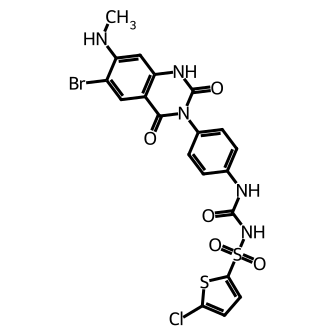 CNc1cc2[nH]c(=O)n(-c3ccc(NC(=O)NS(=O)(=O)c4ccc(Cl)s4)cc3)c(=O)c2cc1Br